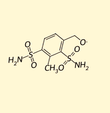 Cc1c(S(N)(=O)=O)ccc(C[O])c1S(N)(=O)=O